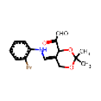 CC1(C)OCC(=CNc2ccccc2Br)C(C(=O)C=O)O1